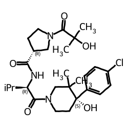 CC(C)[C@@H](NC(=O)[C@@H]1CCN(C(=O)C(C)(C)O)C1)C(=O)N1CC[C@](O)(c2ccc(Cl)cc2)C(C)(C)C1